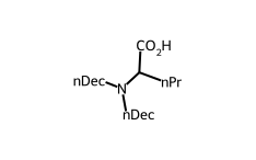 CCCCCCCCCCN(CCCCCCCCCC)C(CCC)C(=O)O